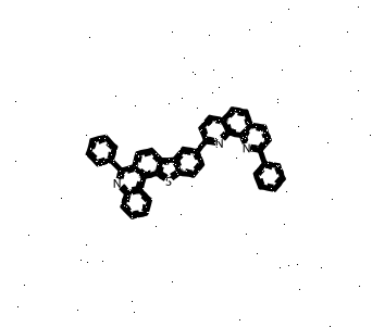 c1ccc(-c2ccc3ccc4ccc(-c5ccc6sc7c(ccc8c(-c9ccccc9)nc9ccccc9c87)c6c5)nc4c3n2)cc1